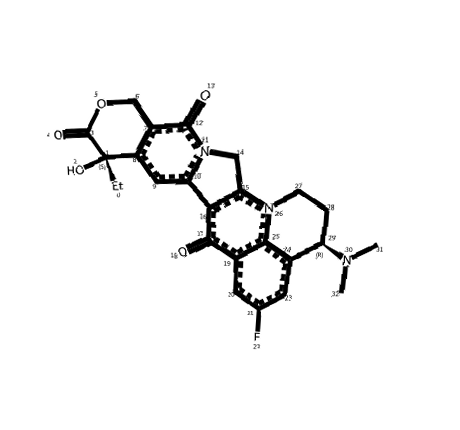 CC[C@@]1(O)C(=O)OCc2c1cc1n(c2=O)Cc2c-1c(=O)c1cc(F)cc3c1n2CC[C@H]3N(C)C